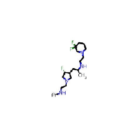 CC(C)NCCN1CC(C[C@H](C)NCCN2CCCC(F)(F)C2)[C@@H](F)C1